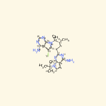 CC(CCc1nc(N)c2ccn(C(C)(C)C)c2n1)C(C)n1cc(F)c2c(N)ncnc21